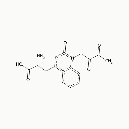 CC(=O)C(=O)Cn1c(=O)cc(CC(N)C(=O)O)c2ccccc21